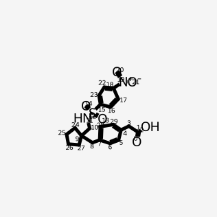 O=C(O)Cc1ccc(CC2(CNS(=O)(=O)c3ccc([N+](=O)[O-])cc3)CCCC2)cc1